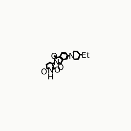 CCC1CCN(c2ccc3c(c2)C(=O)N(C2CCC(=O)NC2=O)C3=O)CC1